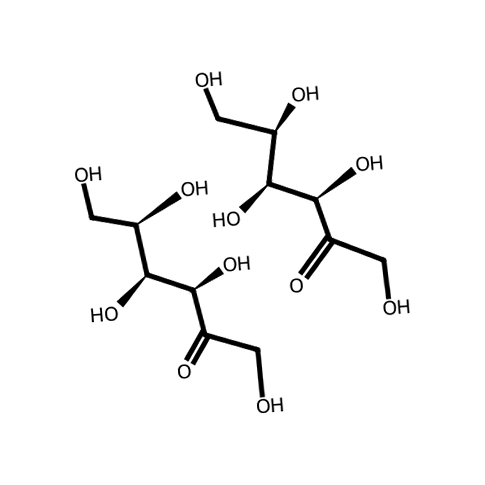 O=C(CO)[C@H](O)[C@@H](O)[C@H](O)CO.O=C(CO)[C@H](O)[C@@H](O)[C@H](O)CO